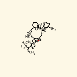 C=Nc1c(/C(N)=N\C)ncn1[C@@H]1O[C@@H]2CO[P@@](=O)(S)O[C@H]3[C@H]4C=CC[C@]3(CO[P@](=O)(S)O[C@@H]1[C@@H]2O)O[C@H]4n1cnc2c(N)ncnc21